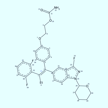 CC/C(=C(/c1ccc(OCCOC(N)=O)cc1)c1ccc2c(c1)c(F)nn2C1CCCCO1)c1c(F)cccc1F